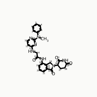 CN(c1ccccc1)c1nccc(NCC(=O)Nc2cccc3c2CN(C2CCC(=O)NC2=O)C3=O)n1